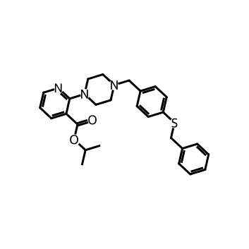 CC(C)OC(=O)c1cccnc1N1CCN(Cc2ccc(SCc3ccccc3)cc2)CC1